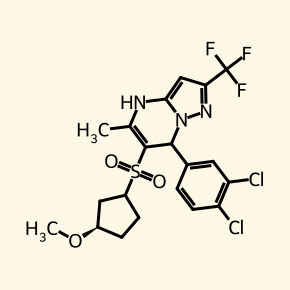 CO[C@@H]1CCC(S(=O)(=O)C2=C(C)Nc3cc(C(F)(F)F)nn3C2c2ccc(Cl)c(Cl)c2)C1